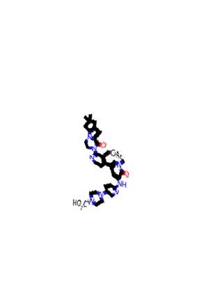 CC(=O)OCc1c(-c2cc(Nc3ccc(N4CCN(C(=O)O)CC4)cn3)c(=O)n(C)c2)ccnc1N1CCn2c(cc3c2CC(C)(C)C3)C1=O